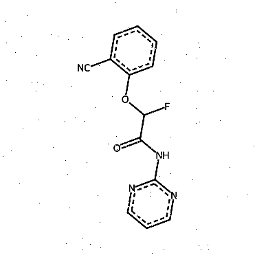 N#Cc1ccccc1OC(F)C(=O)Nc1ncccn1